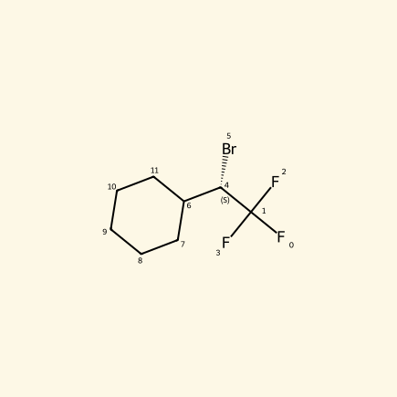 FC(F)(F)[C@@H](Br)C1CCCCC1